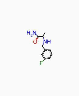 CC(NCc1cccc(F)c1)C(N)=O